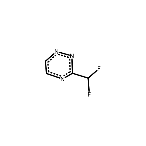 FC(F)c1nccnn1